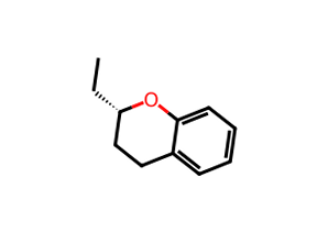 CC[C@H]1CCc2ccccc2O1